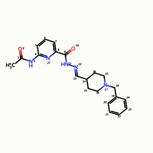 CC(=O)Nc1cccc(C(=O)NN=CC2CCN(Cc3ccccc3)CC2)n1